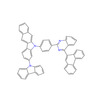 c1ccc2cc3c(cc2c1)c1ccc(-n2c4ccccc4c4ccccc42)cc1n3-c1ccc(-c2nc(-c3cc4ccccc4c4ccccc34)c3ccccc3n2)cc1